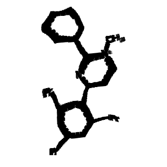 CC(C)c1cc(C(C)C)c(-c2cc[n+](C)c(-c3ccccc3)n2)c(C(C)C)c1